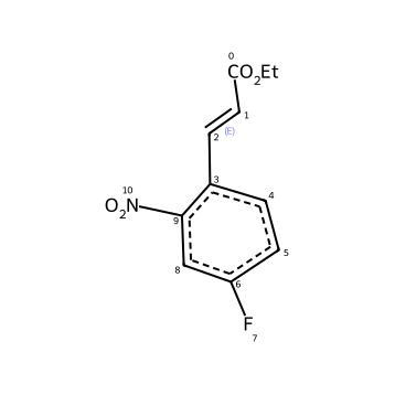 CCOC(=O)/C=C/c1ccc(F)cc1[N+](=O)[O-]